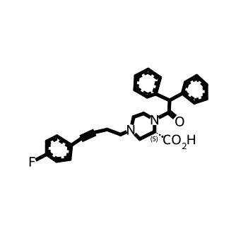 O=C(O)[C@@H]1CN(CCC#Cc2ccc(F)cc2)CCN1C(=O)C(c1ccccc1)c1ccccc1